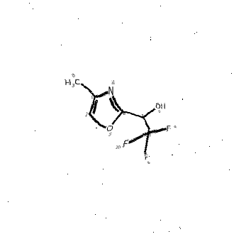 Cc1coc(C(O)C(F)(F)F)n1